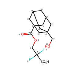 O=C(OCC(F)(F)S(=O)(=O)O)C12CC3CC(CC(CO)(C3)C1)C2